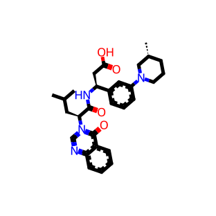 CC(C)C[C@@H](C(=O)N[C@@H](CC(=O)O)c1cccc(N2CCC[C@@H](C)C2)c1)n1cnc2ccccc2c1=O